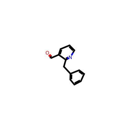 O=[C]c1cccnc1Cc1ccccc1